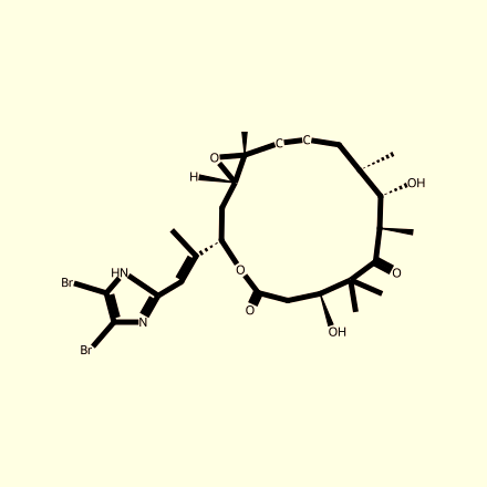 C/C(=C\c1nc(Br)c(Br)[nH]1)[C@@H]1C[C@@H]2O[C@]2(C)CCC[C@H](C)[C@H](O)[C@@H](C)C(=O)C(C)(C)[C@@H](O)CC(=O)O1